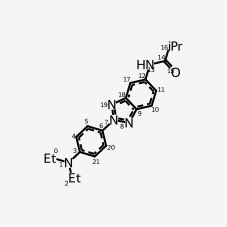 CCN(CC)c1ccc(-n2nc3ccc(NC(=O)C(C)C)cc3n2)cc1